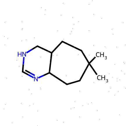 CC1(C)CCC2CNC=NC2CC1